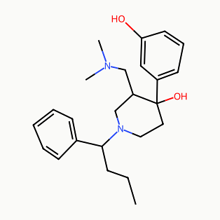 CCCC(c1ccccc1)N1CCC(O)(c2cccc(O)c2)C(CN(C)C)C1